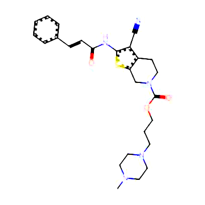 CN1CCN(CCCOC(=O)N2CCc3c(sc(NC(=O)/C=C/c4ccccc4)c3C#N)C2)CC1